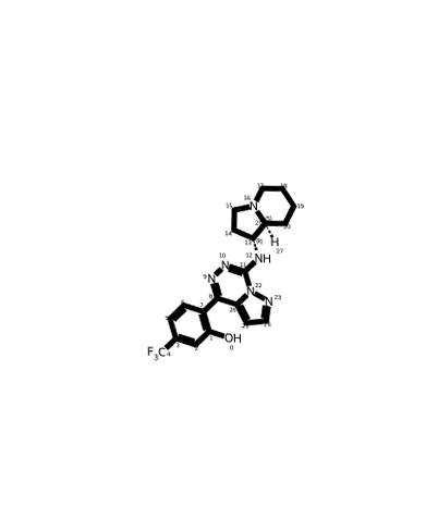 Oc1cc(C(F)(F)F)ccc1-c1nnc(N[C@@H]2CCN3CCCC[C@@H]23)n2nccc12